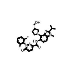 CC(C)c1nc2c(N3CC[C@H](CO)C3)c(NC(=O)c3ccc(=O)n(-c4c(F)cccc4F)n3)ccc2n1C